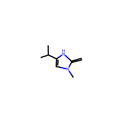 C=C1NC(C(C)C)=CN1C